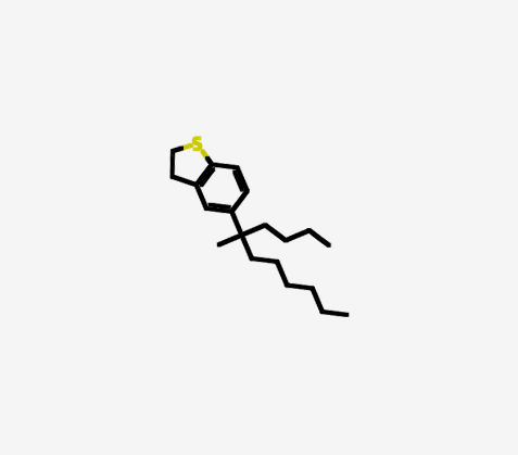 CCCCCCC(C)(CCCC)c1ccc2c(c1)CCS2